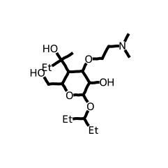 CCC(CC)OC1OC(CO)C(C(C)(O)CC)C(OCCN(C)C)C1O